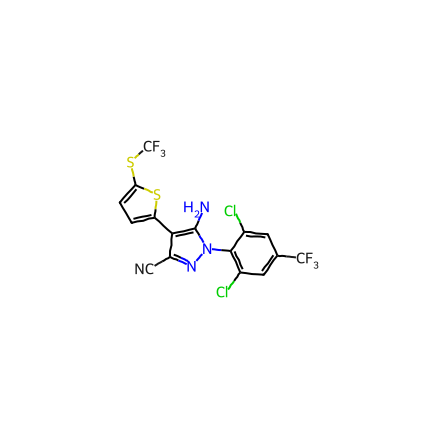 N#Cc1nn(-c2c(Cl)cc(C(F)(F)F)cc2Cl)c(N)c1-c1ccc(SC(F)(F)F)s1